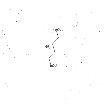 CCCCCCCCCCCCCCCCCCCC.N